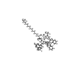 C#C[C@]1(CO[P@@](=O)(NC(Cc2ccccc2)C(=O)OCC(CC)CC)Oc2ccccc2)O[C@@H](n2cnc3c(N)nc(F)nc32)C[C@@H]1OC(=O)CCCCCCCCCCCCCCC